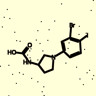 O=C(O)NC1CCN(c2ccc(I)c(Br)c2)C1